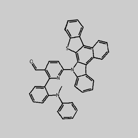 CN(c1ccccc1)c1ccccc1-c1nc(-n2c3ccccc3c3c4ccccc4c4c5ccccc5sc4c32)ccc1C=O